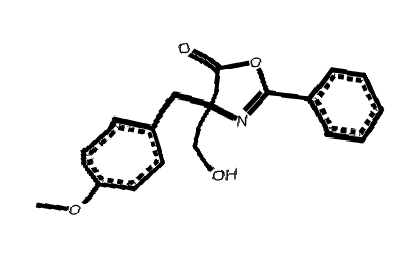 COc1ccc(CC2(CO)N=C(c3ccccc3)OC2=O)cc1